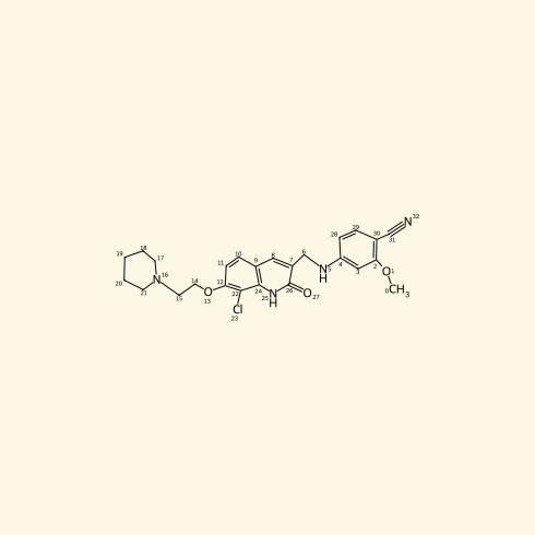 COc1cc(NCc2cc3ccc(OCCN4CCCCC4)c(Cl)c3[nH]c2=O)ccc1C#N